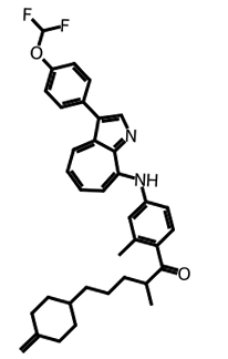 C=C1CCC(CCCC(C)C(=O)c2ccc(Nc3ccccc4c(-c5ccc(OC(F)F)cc5)cnc3-4)cc2C)CC1